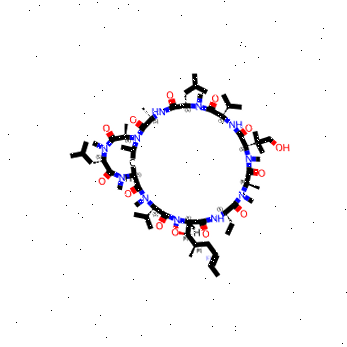 C/C=C/C[C@@H](C)[C@H]1ON2C(=O)[C@H](C(C)C)N(C)C(=O)[C@@H]3CC(C)N(C(=O)[C@H](C)NC(=O)[C@H](CC(C)C)N(C)C(=O)[C@H](C(C)C)NC(=O)[C@H](C(C)(C)CO)N(C)C(=O)[C@@H](C)N(C)C(=O)[C@H](CC)NC(=O)[C@H]12)[C@H](C)C(=O)N(C)[C@@H](CC(C)C)C(=O)N3C